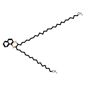 CCCCCCCCCCCCCCCCCCCCCCCCCCCCC(S)C(CCCCCCCCCCCCCCCCCC)Sc1cccc2ccccc12